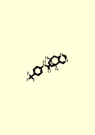 O=C(Nc1ccc(C(F)(F)F)cc1)N1[C@@H]2CC[C@H]1c1cncnc1C2